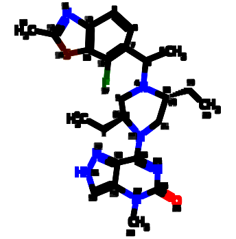 CC[C@H]1CN(C(C)c2ccc3nc(C)sc3c2F)[C@H](CC)CN1c1nc(=O)n(C)c2c[nH]nc12